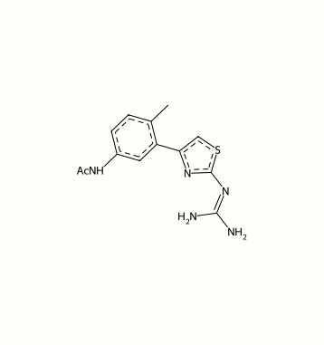 CC(=O)Nc1ccc(C)c(-c2csc(N=C(N)N)n2)c1